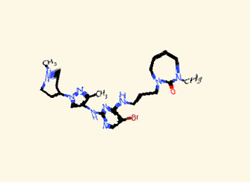 Cc1nn(C2CCN(C)C2)cc1Nc1ncc(Br)c(NCCCN2CCCCN(C)C2=O)n1